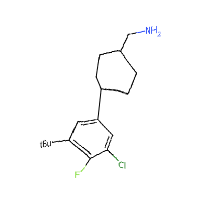 CC(C)(C)c1cc(C2CCC(CN)CC2)cc(Cl)c1F